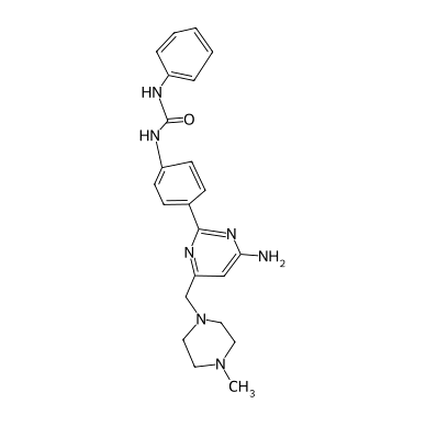 CN1CCN(Cc2cc(N)nc(-c3ccc(NC(=O)Nc4ccccc4)cc3)n2)CC1